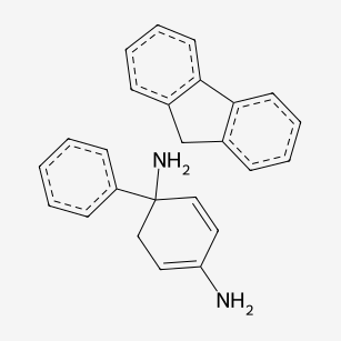 NC1=CCC(N)(c2ccccc2)C=C1.c1ccc2c(c1)Cc1ccccc1-2